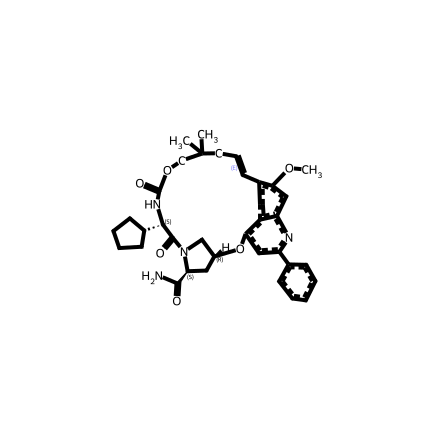 COc1cc2nc(-c3ccccc3)cc3c2cc1/C=C/CC(C)(C)COC(=O)N[C@@H](C1CCCC1)C(=O)N1C[C@@H](C[C@H]1C(N)=O)O3